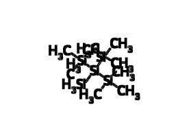 C[Si](C)(C)[Si]([SiH3])([Si](C)(C)C)[Si](C)(C)C